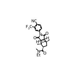 CCN(C)C(=O)[C@@H]1C[C@]2(C)O[C@@]1(C)[C@@H]1C(=O)N(c3ccc(C#N)c(C(F)(F)F)c3)C(=O)[C@@H]12